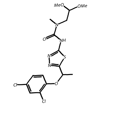 COC(CN(C)C(=O)Nc1nnc(C(C)Oc2ccc(Cl)cc2Cl)s1)OC